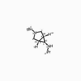 CC(C)N[C@H]1[C@@H]2CN(C(C)(C)C)C[C@@H]21